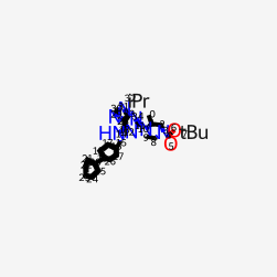 CC1CN(C(=O)OC(C)(C)C)CCN1c1nc(NCc2ccc(-c3ccccc3)cc2)c2ncn(C(C)C)c2n1